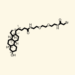 C[C@H](CCC(=O)NCCOCCOCCNC(=O)CBr)[C@H]1CC[C@H]2[C@@H]3CC[C@@H]4C[C@H](O)CC[C@]4(C)[C@H]3CC[C@]12C